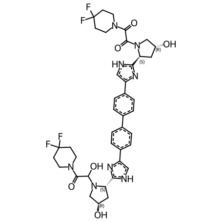 O=C(C(=O)N1C[C@H](O)C[C@H]1c1nc(-c2ccc(-c3ccc(-c4c[nH]c([C@@H]5C[C@@H](O)CN5C(O)C(=O)N5CCC(F)(F)CC5)n4)cc3)cc2)c[nH]1)N1CCC(F)(F)CC1